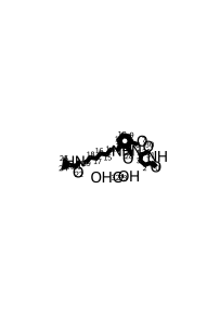 O=C1CCC(N2C(=O)c3cccc(NCCCCCCNC(=O)C4CC4)c3C2=O)C(=O)N1.O=CO